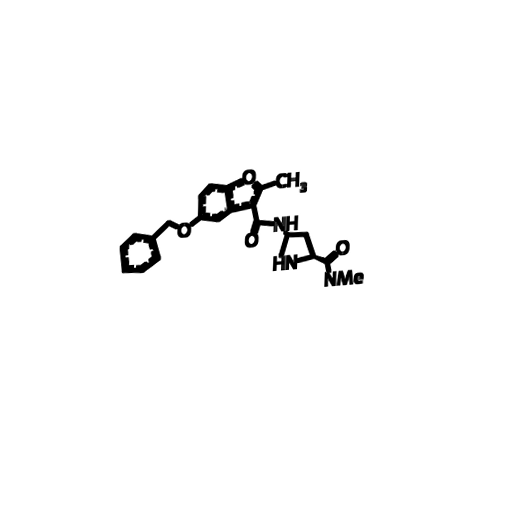 CNC(=O)[C@@H]1C[C@@H](NC(=O)c2c(C)oc3ccc(OCc4ccccc4)cc23)CN1